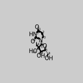 O=c1ccn([C@@H]2O[C@H](CO)[C@@H](O)[C@]2(O)I)c(=O)[nH]1